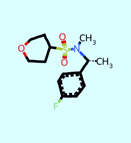 C[C@H](c1ccc(F)cc1)N(C)S(=O)(=O)C1CCOCC1